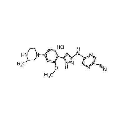 COc1cc(N2CCN[C@H](C)C2)ccc1-c1cc(Nc2cnc(C#N)cn2)n[nH]1.Cl